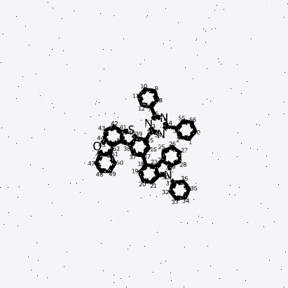 c1ccc(-c2nc(-c3ccccc3)nc(-c3cc(-c4cccc5c4c4ccccc4n5-c4ccccc4)cc4c3sc3ccc5oc6ccccc6c5c34)n2)cc1